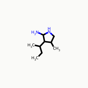 CCC(C)C1C(C)CNC1N